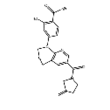 C=C1CCN(C(=O)c2cnc3c(c2)CCCN3c2ccc(C(=O)CCC)c(CC)c2)C1